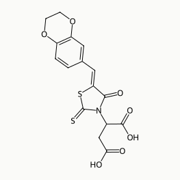 O=C(O)CC(C(=O)O)N1C(=O)/C(=C/c2ccc3c(c2)OCCO3)SC1=S